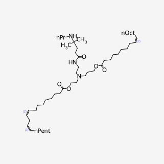 CCCCC/C=C\C/C=C\CCCCCCCC(=O)OCCN(CCCOC(=O)CCCCCCC/C=C\CCCCCCCC)CCNC(=O)CCC(C)(C)NCCC